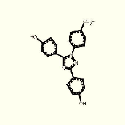 O=C(O)c1ccc(-n2nc(-c3ccc(O)cc3)nc2-c2ccc(O)cc2)cc1